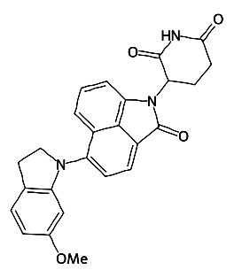 COc1ccc2c(c1)N(c1ccc3c4c(cccc14)N(C1CCC(=O)NC1=O)C3=O)CC2